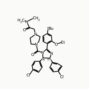 CCOc1cc(C(C)(C)C)ccc1C1=N[C@@H](c2ccc(Cl)cc2)[C@@H](c2ccc(Cl)cc2)N1C(=O)N1CCN(CC(=O)N(C)C)CC1